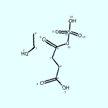 CCO.O=C(O)CCC(=O)OS(=O)(=O)O